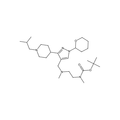 CC(C)CN1CCC(c2nn(C3CCCCO3)cc2CN(C)CCN(C)C(=O)OC(C)(C)C)CC1